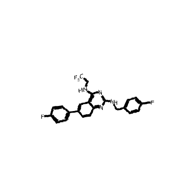 Fc1ccc(CNc2nc(NCC(F)(F)F)c3cc(-c4ccc(F)cc4)ccc3n2)cc1